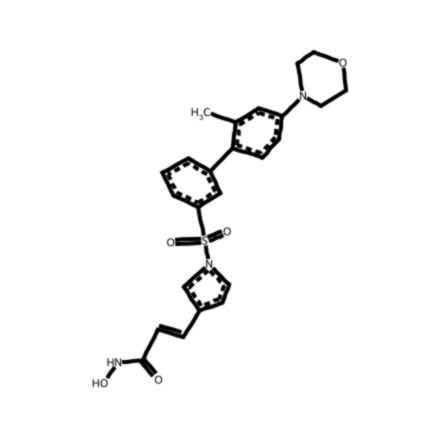 Cc1cc(N2CCOCC2)ccc1-c1cccc(S(=O)(=O)n2ccc(C=CC(=O)NO)c2)c1